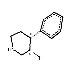 F[C@@H]1CNCC[C@@H]1c1ccccc1